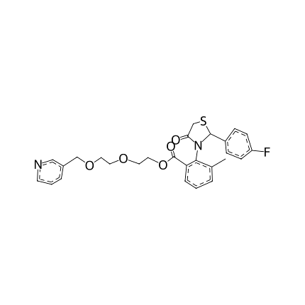 Cc1cccc(C(=O)OCCOCCOCc2cccnc2)c1N1C(=O)CSC1c1ccc(F)cc1